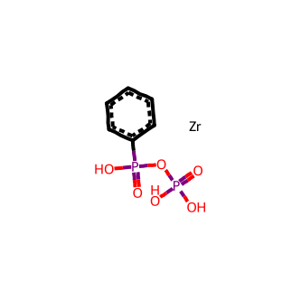 O=P(O)(O)OP(=O)(O)c1ccccc1.[Zr]